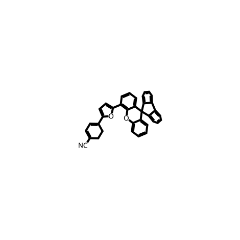 N#CC1=CC=C(c2ccc(-c3cccc4c3Oc3ccccc3C43c4ccccc4-c4ccccc43)o2)CC1